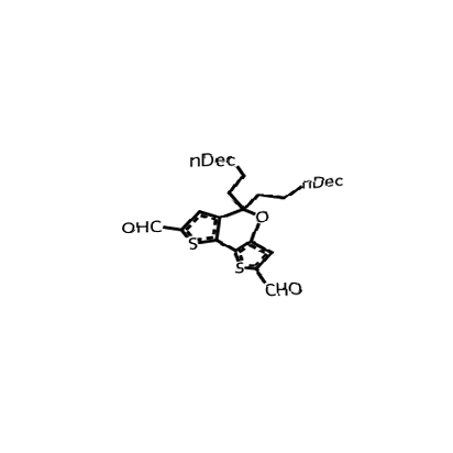 CCCCCCCCCCCCC1(CCCCCCCCCCCC)Oc2cc(C=O)sc2-c2sc(C=O)cc21